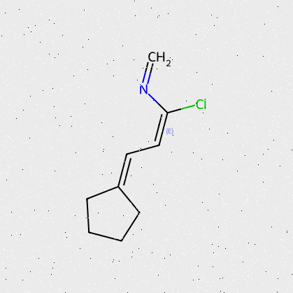 C=N/C(Cl)=C\C=C1CCCC1